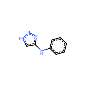 c1ccc(Nc2c[nH]nn2)cc1